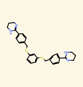 c1cc(SCc2ccc(C3=NCCCN3)cc2)cc(SCc2ccc(C3=NCCCN3)cc2)c1